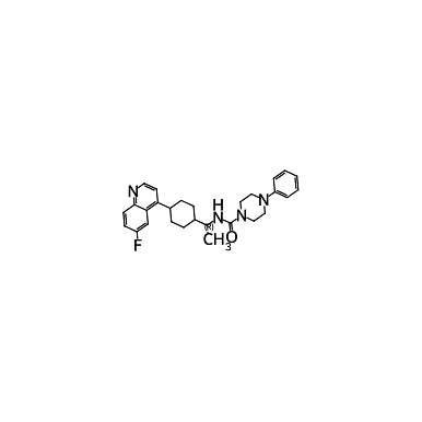 C[C@@H](NC(=O)N1CCN(c2ccccc2)CC1)C1CCC(c2ccnc3ccc(F)cc23)CC1